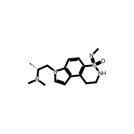 CN=S1(=O)NCCc2c1ccc1c2ccn1C[C@@H](C)N(C)C